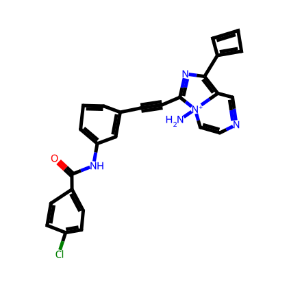 N[N+]12C=CN=CC1=C(C1=CC=C1)N=C2C#Cc1cccc(NC(=O)c2ccc(Cl)cc2)c1